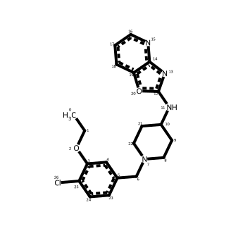 CCOc1cc(CN2CCC(Nc3nc4ncccc4o3)CC2)ccc1Cl